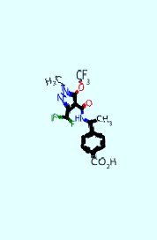 CC(NC(=O)c1c(C(F)F)nn(C)c1OC(F)(F)F)c1ccc(C(=O)O)cc1